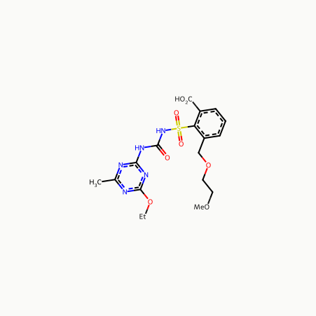 CCOc1nc(C)nc(NC(=O)NS(=O)(=O)c2c(COCCOC)cccc2C(=O)O)n1